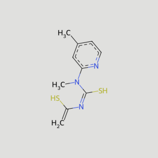 C=C(S)/N=C(/S)N(C)c1cc(C)ccn1